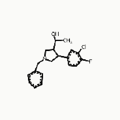 CC(O)C1CN(Cc2ccccc2)CC1c1ccc(F)c(Cl)c1